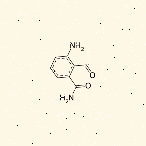 NC(=O)c1cccc(N)c1[C]=O